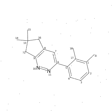 Cc1cccc(-c2cc3c(nn2)CC(C)(C)C3)c1C